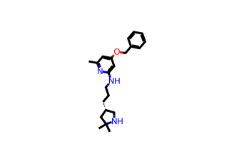 Cc1cc(OCc2ccccc2)cc(NCCC[C@@H]2CNC(C)(C)C2)n1